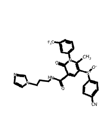 Cc1c([S+]([O-])c2ccc(C#N)cc2)cc(C(=O)NCCCn2ccnc2)c(=O)n1-c1cccc(C(F)(F)F)c1